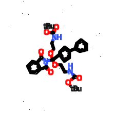 CC(C)(C)OC(=O)NCCOC(OCCNC(=O)OC(C)(C)C)(c1ccc(-c2ccccc2)cc1)N1C(=O)c2ccccc2C1=O